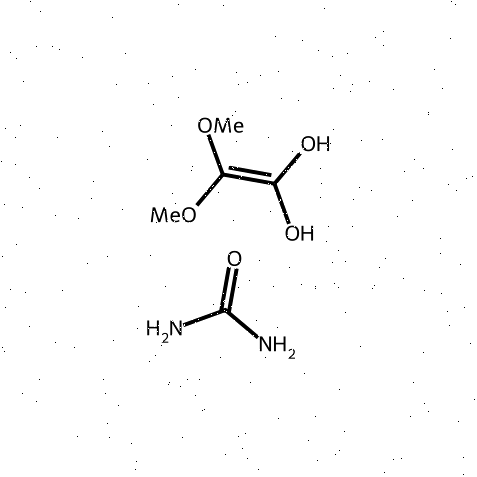 COC(OC)=C(O)O.NC(N)=O